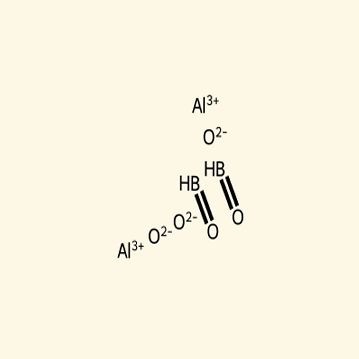 B=O.B=O.[Al+3].[Al+3].[O-2].[O-2].[O-2]